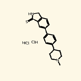 CN1CCC(c2ccc(-c3ccc4c(c3)C(=S)NC4)cc2)CC1.Cl.Cl